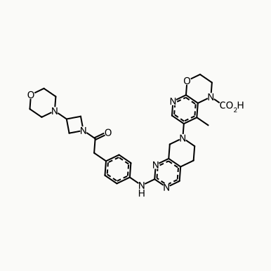 Cc1c(N2CCc3cnc(Nc4ccc(CC(=O)N5CC(N6CCOCC6)C5)cc4)nc3C2)cnc2c1N(C(=O)O)CCO2